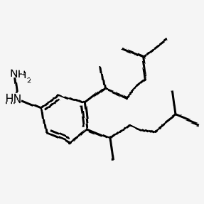 CC(C)CCC(C)c1ccc(NN)cc1C(C)CCC(C)C